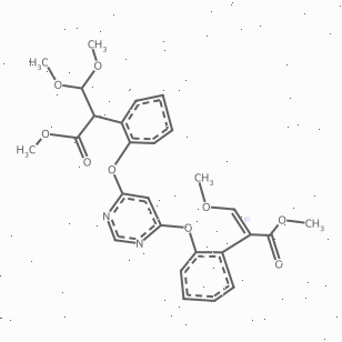 CO/C=C(/C(=O)OC)c1ccccc1Oc1cc(Oc2ccccc2C(C(=O)OC)C(OC)OC)ncn1